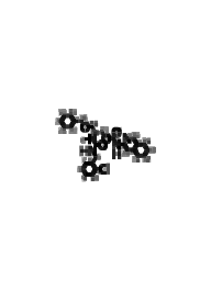 CN(C(=O)NCc1ccccc1Cl)[C@@H](COCc1ccccc1)COC(=O)Nc1cc2ccccc2cn1